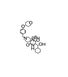 CCCCN1C(=O)[C@@H]([C@H](O)C2CCCCC2)NC(=O)C12CCN(Cc1ccc(OC3CCOCC3)cc1)CC2